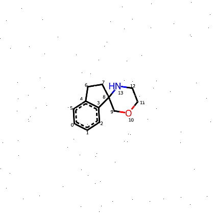 c1ccc2c(c1)CCC21COCCN1